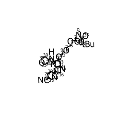 CN(CC(=O)OCCOCCOc1cc2ncn(-c3ccc(C#N)cn3)c2nc1NC1CCOCC1)C(=O)OC(C)(C)C